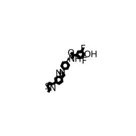 Cc1nc(-c2ccc3cn([C@H]4CC[C@H](CNC(=O)c5cc(F)c(O)c(F)c5)CC4)nc3c2)cs1